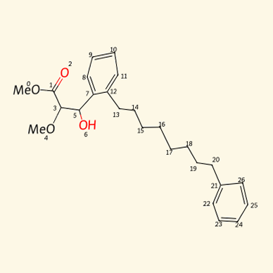 COC(=O)C(OC)C(O)c1ccccc1CCCCCCCCc1ccccc1